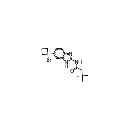 CC(C)(C)CC(=O)Nc1nc2ccc(C3(Br)CCC3)cc2[nH]1